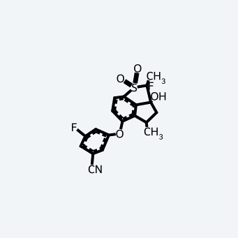 CC1CC2(O)c3c(ccc(Oc4cc(F)cc(C#N)c4)c31)S(=O)(=O)C2(C)F